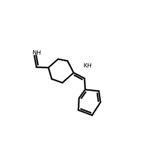 N=CC1CCC(=Cc2ccccc2)CC1.[KH]